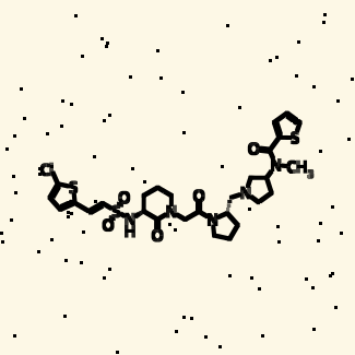 CN(C(=O)c1cccs1)C1CCN(C[C@@H]2CCCN2C(=O)CN2CCC[C@H](NS(=O)(=O)/C=C/c3ccc(Cl)s3)C2=O)C1